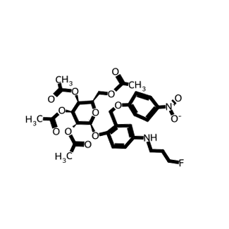 CC(=O)OC[C@H]1O[C@@H](Oc2ccc(NCCCF)cc2COc2ccc([N+](=O)[O-])cc2)[C@H](OC(C)=O)[C@@H](OC(C)=O)[C@H]1OC(C)=O